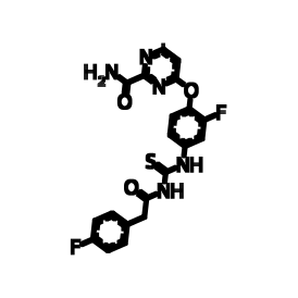 NC(=O)c1n[c]cc(Oc2ccc(NC(=S)NC(=O)Cc3ccc(F)cc3)cc2F)n1